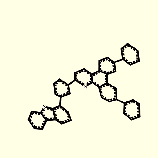 c1ccc(-c2ccc3c(c2)c2cc(-c4ccccc4)ccc2c2nc(-c4cccc(-c5cccc6c5sc5ccccc56)c4)ccc32)cc1